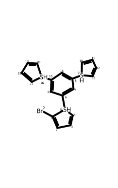 BrC1=CC=C[SH]1c1cc([SH]2C=CC=C2)cc([SH]2C=CC=C2)c1